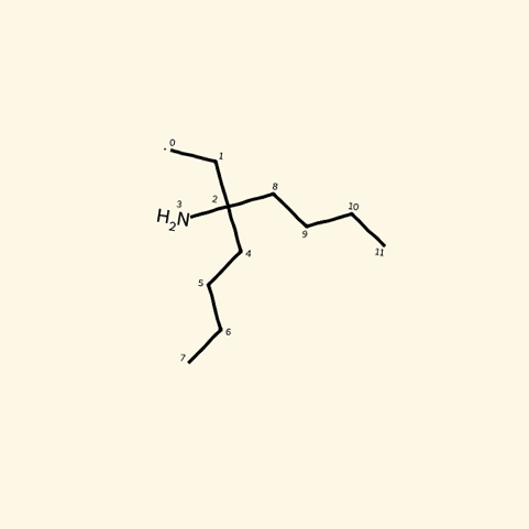 [CH2]CC(N)(CCCC)CCCC